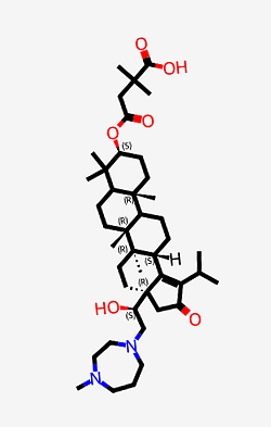 CC(C)C1=C2[C@H]3CCC4[C@@]5(C)CC[C@H](OC(=O)CC(C)(C)C(=O)O)C(C)(C)C5CC[C@@]4(C)[C@]3(C)CC[C@@]2([C@H](O)CN2CCCN(C)CC2)CC1=O